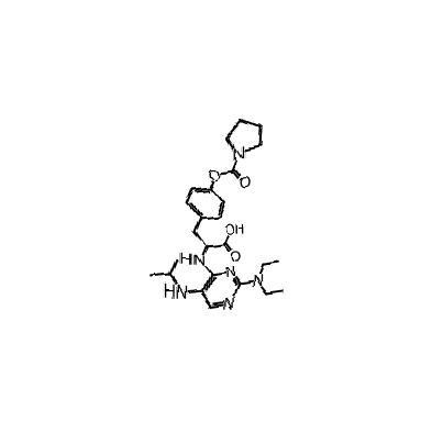 CCN(CC)c1ncc(NC(C)C)c(N[C@@H](Cc2ccc(OC(=O)N3CCCC3)cc2)C(=O)O)n1